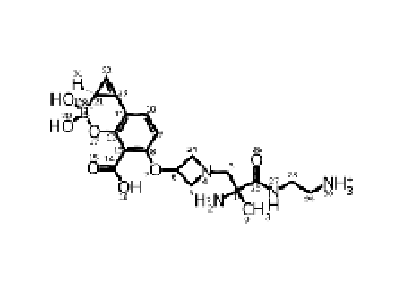 CC(N)(CN1CC(Oc2ccc3c(c2C(=O)O)O[B-](O)(O)[C@H]2C=C32)C1)C(=O)NCC[NH3+]